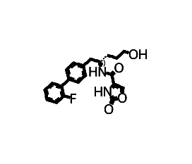 O=C(N[C@@H](CCCO)Cc1ccc(-c2ccccc2F)cc1)c1coc(=O)[nH]1